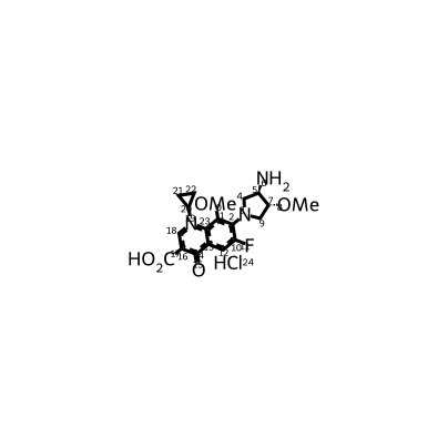 COc1c(N2C[C@@H](N)[C@H](OC)C2)c(F)cc2c(=O)c(C(=O)O)cn(C3CC3)c12.Cl